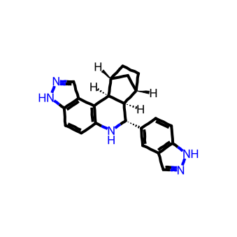 c1cc2[nH]ncc2cc1[C@@H]1Nc2ccc3[nH]ncc3c2[C@H]2[C@@H]3CC[C@@H](C3)[C@H]21